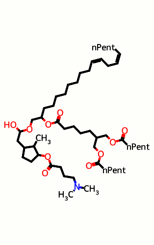 CCCCC/C=C\C/C=C\CCCCCCCCC(COC(O)CC1CCC(OC(=O)CCCN(C)C)C1C)OC(=O)CCCCC(COC(=O)CCCCC)COC(=O)CCCCC